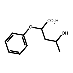 CC(O)CC(Oc1ccccc1)C(=O)O